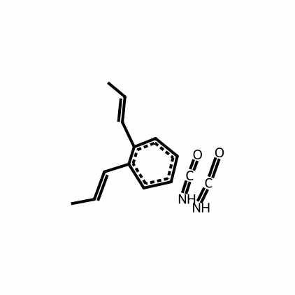 CC=Cc1ccccc1C=CC.N=C=O.N=C=O